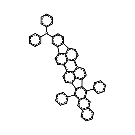 c1ccc(-c2c3c(c(-c4ccccc4)c4cc5ccccc5cc24)-c2ccc4c5ccc6c7c(ccc(c8ccc-3c2c84)c75)-c2ccc(N(c3ccccc3)c3ccccc3)cc2-6)cc1